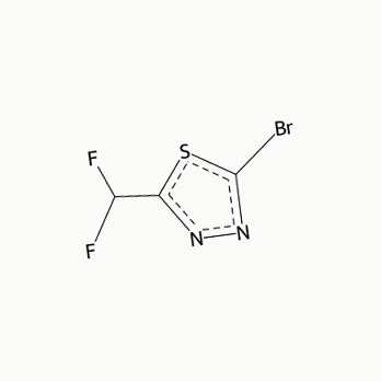 FC(F)c1nnc(Br)s1